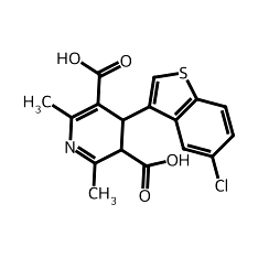 CC1=NC(C)=C(C(=O)O)C(c2csc3ccc(Cl)cc23)C1C(=O)O